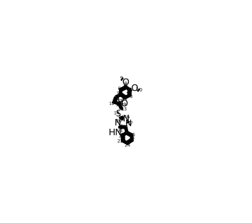 COc1cc2c(cc1OC)C1=CC(CSc3nnc4c(n3)[nH]c3ccccc34)(O1)O2